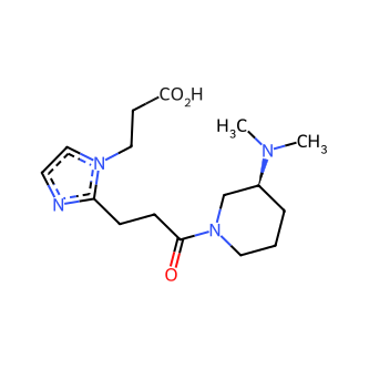 CN(C)[C@H]1CCCN(C(=O)CCc2nccn2CCC(=O)O)C1